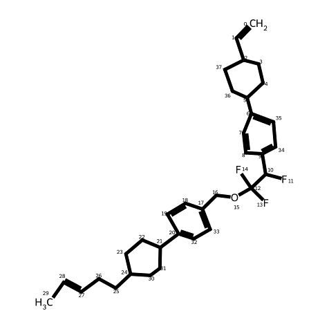 C=CC1CCC(c2ccc(C(F)C(F)(F)OCc3ccc(C4CCC(CCC=CC)CC4)cc3)cc2)CC1